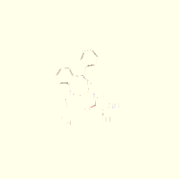 COCCN1CC(NC(=O)[C@H](C)N)N=C(c2ccccc2)c2ccccc21